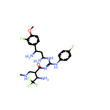 CNCC(C(=O)/N=C(/Nc1ccc(F)cc1)NC(N)CC(N)c1ccc(OC)c(F)c1)C(N)C(F)(F)F